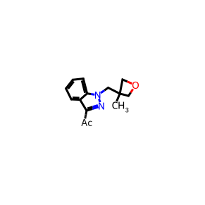 CC(=O)c1nn(CC2(C)COC2)c2ccccc12